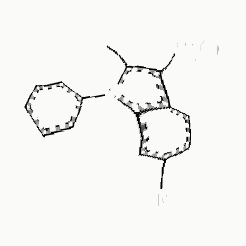 CCOC(=O)c1c(C)n(-c2ccccc2)c2cc(Br)ccc12